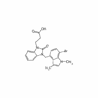 Cc1cn(C)c2c(Br)ccc(Cn3c(=O)n(CCC(=O)O)c4ccccc43)c12